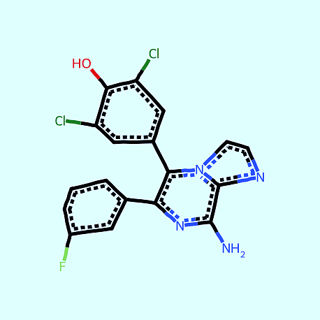 Nc1nc(-c2cccc(F)c2)c(-c2cc(Cl)c(O)c(Cl)c2)n2ccnc12